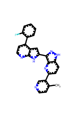 Cc1ccncc1-c1ccc2[nH]nc(-c3cc4c(-c5ccccc5F)ccnc4[nH]3)c2n1